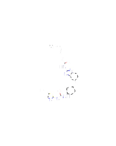 COCCOCC(=O)Nc1nc2cc(Oc3ccc(NC(=O)Nc4ncc(C)s4)cc3)ccc2[nH]1